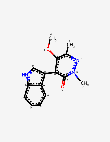 COc1c(C)nn(C)c(=O)c1-c1c[nH]c2ccccc12